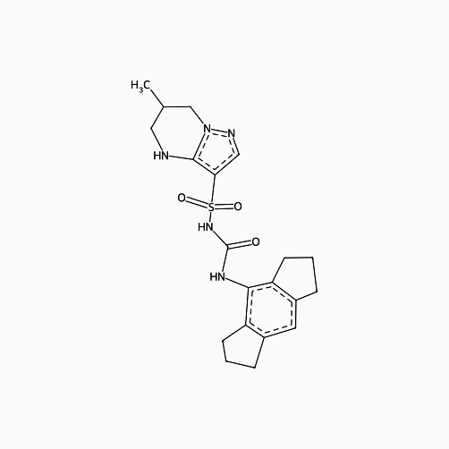 CC1CNc2c(S(=O)(=O)NC(=O)Nc3c4c(cc5c3CCC5)CCC4)cnn2C1